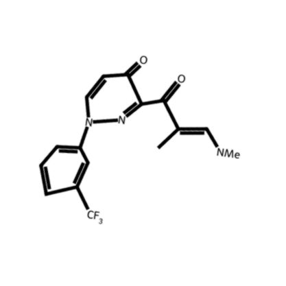 CN/C=C(\C)C(=O)c1nn(-c2cccc(C(F)(F)F)c2)ccc1=O